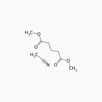 CC#N.COC(=O)CCCC(=O)OC